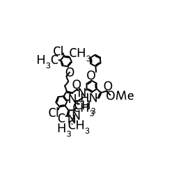 COC(=O)c1c[nH]c2c(N3C[C@@H](C)n4c(c(CCCOc5cc(C)c(Cl)c(C)c5)c5ccc(Cl)c(-c6c(C)nn(C)c6C)c54)C3=O)cc(OCc3ccccc3)cc12